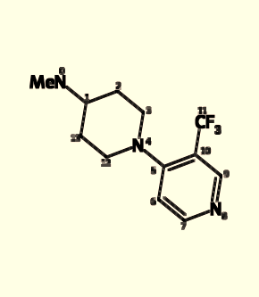 CNC1CCN(c2ccncc2C(F)(F)F)CC1